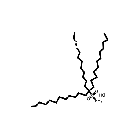 CCCCCCCCCCCCC(CCCCCCCCCCCC)(CCCCCCCCCCCC)S(N)(=O)=O.Cl